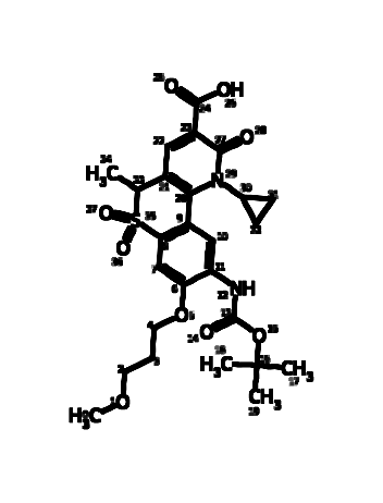 COCCCOc1cc2c(cc1NC(=O)OC(C)(C)C)-c1c(cc(C(=O)O)c(=O)n1C1CC1)C(C)S2(=O)=O